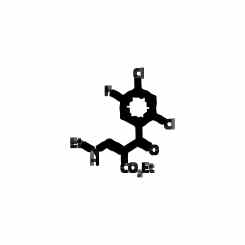 CCNC=C(C(=O)OCC)C(=O)c1cc(F)c(Cl)cc1Cl